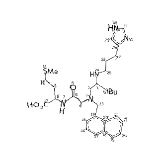 CCC(C)C(CN(CC(=O)NC(CCSC)C(=O)O)Cc1cccc2ccccc12)NCCCc1c[nH]cn1